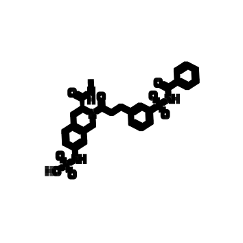 CNC(=O)[C@@H]1Cc2ccc(NS(=O)(=O)O)cc2CN1C(=O)CCc1cccc(S(=O)(=O)NC(=O)c2ccccc2)c1